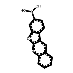 OB(O)c1ccc2c(c1)oc1nc3ccccc3cc12